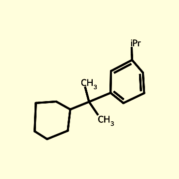 CC(C)c1cccc(C(C)(C)C2CCCCC2)c1